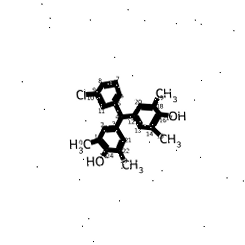 Cc1cc(C(c2cccc(Cl)c2)c2cc(C)c(O)c(C)c2)cc(C)c1O